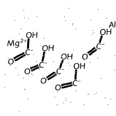 O=[C-]O.O=[C-]O.O=[C-]O.O=[C-]O.O=[C-]O.[Al+3].[Mg+2]